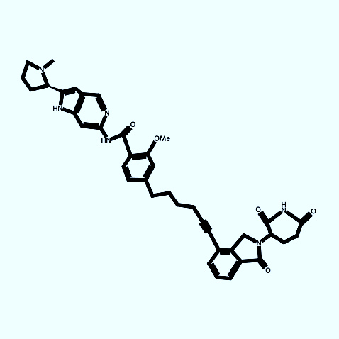 COc1cc(CCCCC#Cc2cccc3c2CN(C2CCC(=O)NC2=O)C3=O)ccc1C(=O)Nc1cc2[nH]c([C@H]3CCCN3C)cc2cn1